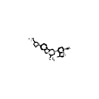 CC1CN(c2ccc(C#N)n3ncc(F)c23)CC2c3ccc(N4CCC(N)C4)cc3CN12